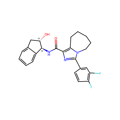 O=C(N[C@H]1c2ccccc2C[C@@H]1O)c1nc(-c2ccc(F)c(F)c2)n2c1CCCCC2